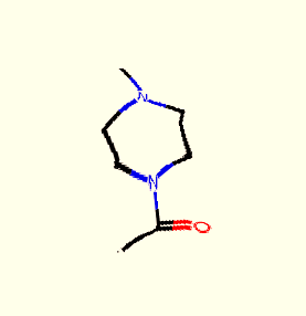 [CH2]C(=O)N1CCN(C)CC1